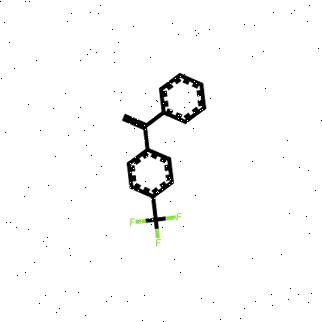 C=C(c1ccccc1)c1ccc(C(F)(F)F)cc1